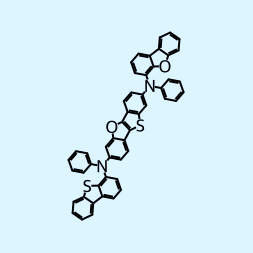 c1ccc(N(c2ccc3c(c2)sc2c4ccc(N(c5ccccc5)c5cccc6c5sc5ccccc56)cc4oc32)c2cccc3c2oc2ccccc23)cc1